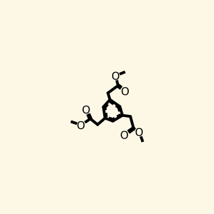 COC(=O)Cc1cc(CC(=O)OC)cc(CC(=O)OC)c1